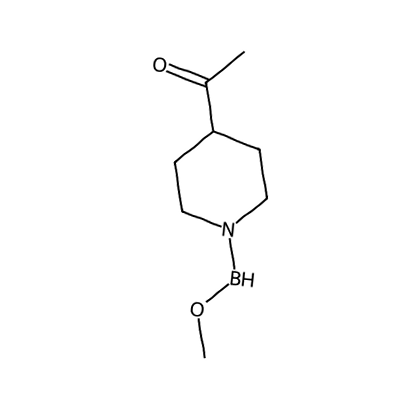 COBN1CCC(C(C)=O)CC1